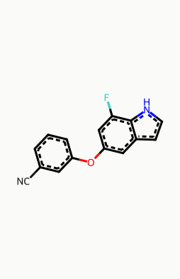 N#Cc1cccc(Oc2cc(F)c3[nH]ccc3c2)c1